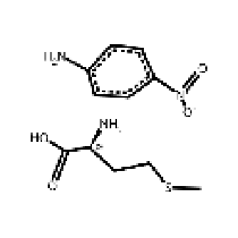 CSCC[C@H](N)C(=O)O.Nc1ccc([N+](=O)[O-])cc1